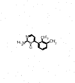 Cc1cccc(C2=CC=NC(N)N2Cl)c1C